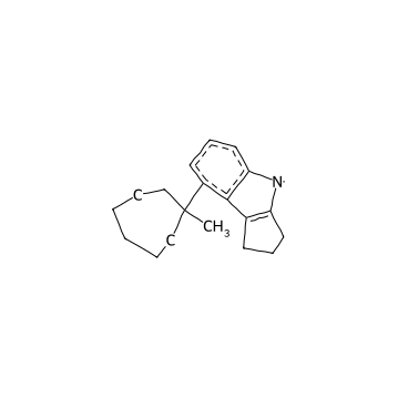 CC1(c2cccc3c2C2=C(CCC2)[N]3)CCCCCC1